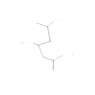 CCC(CC(CC(C)C(=O)O)C(=O)O)C(=O)O